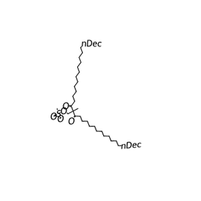 CCCCCCCCCCCCCCCCCCCCCCC(=O)C(C)(COS(C)(=O)=O)C(=O)CCCCCCCCCCCCCCCCCCCCCC